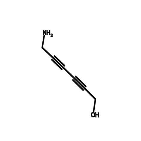 NCC#CC#CCO